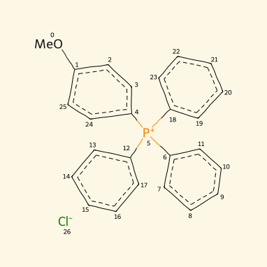 COc1ccc([P+](c2ccccc2)(c2ccccc2)c2ccccc2)cc1.[Cl-]